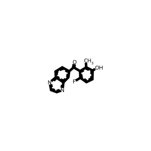 Cc1c(O)ccc(F)c1C(=O)c1ccc2nccnc2c1